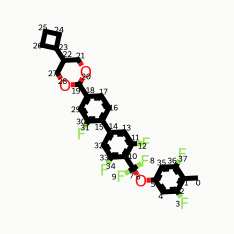 Cc1c(F)cc(OC(F)(F)c2c(F)cc(-c3ccc(C4OCC(C5CCC5)CO4)cc3F)cc2F)cc1F